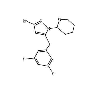 Fc1cc(F)cc(Cc2cc(Br)nn2C2CCCCO2)c1